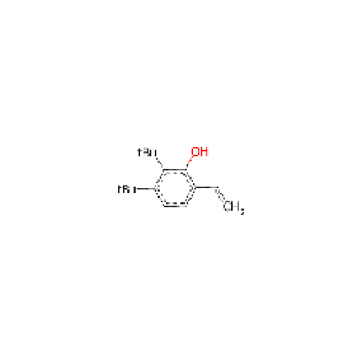 C=Cc1ccc(C(C)(C)C)c(C(C)(C)C)c1O